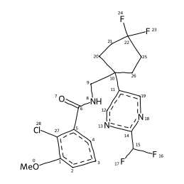 COc1cccc(C(=O)NCC2(c3cnc(C(F)F)nc3)CCC(F)(F)CC2)c1Cl